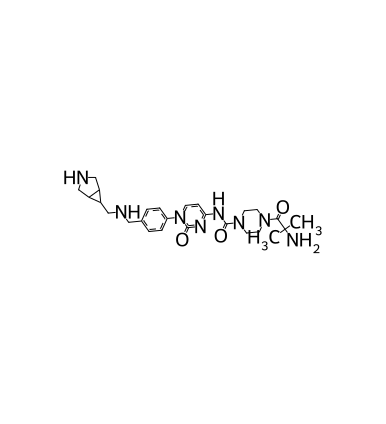 CC(C)(N)C(=O)N1CCN(C(=O)Nc2ccn(-c3ccc(CNCC4C5CNCC45)cc3)c(=O)n2)CC1